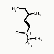 CCC(C)C=C[SiH](Cl)N(C)C